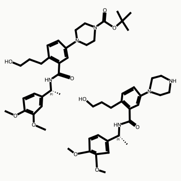 COc1ccc([C@@H](C)NC(=O)c2cc(N3CCN(C(=O)OC(C)(C)C)CC3)ccc2CCCO)cc1OC.COc1ccc([C@@H](C)NC(=O)c2cc(N3CCNCC3)ccc2CCCO)cc1OC